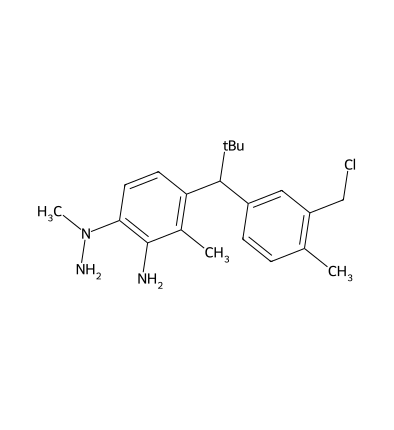 Cc1ccc(C(c2ccc(N(C)N)c(N)c2C)C(C)(C)C)cc1CCl